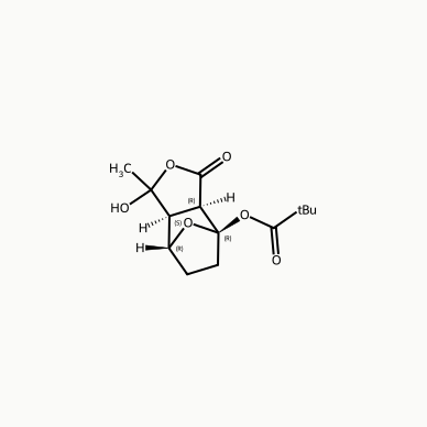 CC(C)(C)C(=O)O[C@@]12CC[C@@H](O1)[C@@H]1[C@H]2C(=O)OC1(C)O